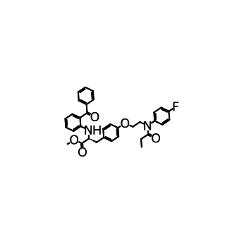 CCC(=O)N(CCOc1ccc(C[C@H](Nc2ccccc2C(=O)c2ccccc2)C(=O)OC)cc1)c1ccc(F)cc1